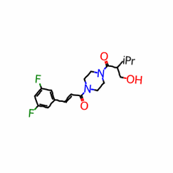 CC(C)C(CO)C(=O)N1CCN(C(=O)C=Cc2cc(F)cc(F)c2)CC1